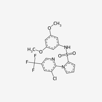 COc1cc(NS(=O)(=O)c2cccn2-c2ncc(C(F)(F)F)cc2Cl)cc(OC)c1